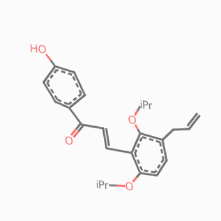 C=CCc1ccc(OC(C)C)c(C=CC(=O)c2ccc(O)cc2)c1OC(C)C